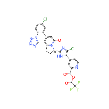 O=C(OC(=O)C(F)(F)F)c1cc(-c2[nH]c([C@@H]3CCc4cc(-c5cc(Cl)ccc5-n5cnnn5)cc(=O)n43)nc2Cl)ccn1